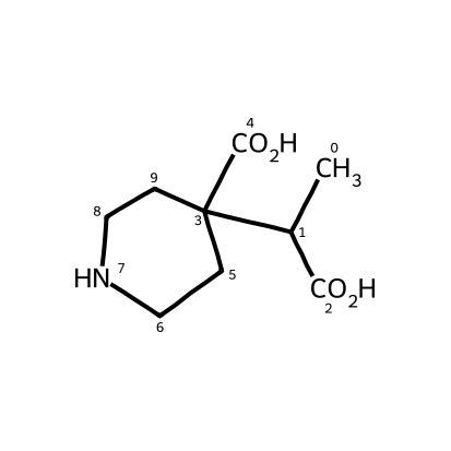 CC(C(=O)O)C1(C(=O)O)CCNCC1